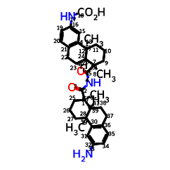 C[C@]1(C(=O)NC(=O)[C@@]2(C)CCC[C@]3(C)c4cc(NC(=O)O)ccc4CC[C@@H]23)CCC[C@]2(C)c3cc(N)ccc3CC[C@@H]12